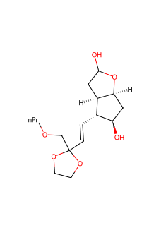 CCCOCC1(/C=C/[C@@H]2[C@H]3CC(O)O[C@H]3C[C@H]2O)OCCO1